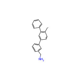 [CH2]c1ccc(-c2cccc(CN)c2)cc1-c1ccccc1